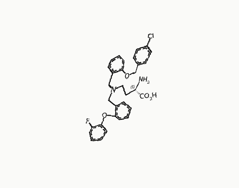 N[C@@H](CCN(Cc1ccccc1OCc1ccc(Cl)cc1)Cc1ccccc1Oc1ccccc1F)C(=O)O